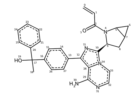 C=CC(=O)N1C2CC2C[C@H]1c1nc(-c2ccc(C(C)(O)c3ccccc3)cc2)c2c(N)nccn12